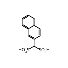 O=S(=O)(O)C(c1ccc2ccccc2c1)S(=O)(=O)O